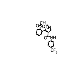 CS(=O)(=O)c1ccccc1-c1oncc1C(=O)Nc1ccc(C(F)(F)F)cc1